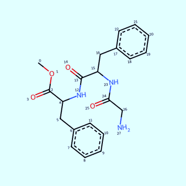 COC(=O)C(Cc1ccccc1)NC(=O)C(Cc1ccccc1)NC(=O)CN